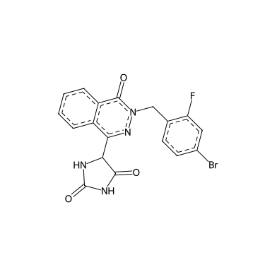 O=C1NC(=O)C(c2nn(Cc3ccc(Br)cc3F)c(=O)c3ccccc23)N1